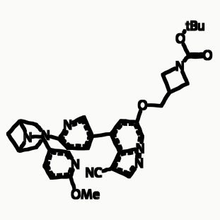 COc1ccc(CN2C3CC2CN(c2ccc(-c4cc(OCC5CN(C(=O)OC(C)(C)C)C5)cn5ncc(C#N)c45)cn2)C3)cn1